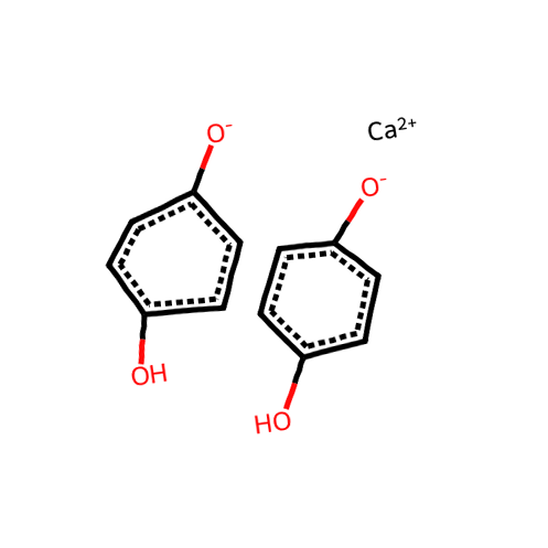 [Ca+2].[O-]c1ccc(O)cc1.[O-]c1ccc(O)cc1